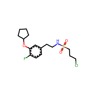 O=S(=O)(CCCCl)NCCc1ccc(F)c(OC2CCCC2)c1